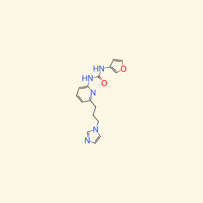 O=C(Nc1ccoc1)Nc1cccc(CCCn2ccnc2)n1